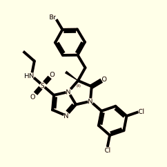 CCNS(=O)(=O)c1cnc2n1[C@](C)(Cc1ccc(Br)cc1)C(=O)N2c1cc(Cl)cc(Cl)c1